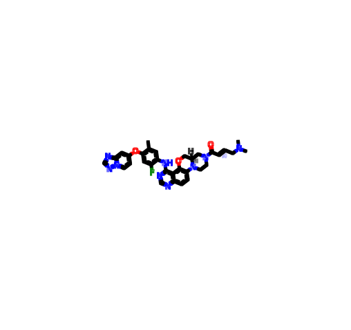 Cc1cc(Nc2ncnc3ccc4c(c23)OC[C@@H]2CN(C(=O)/C=C/CN(C)C)CCN42)c(F)cc1Oc1ccn2ncnc2c1